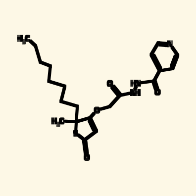 CCCCCCCCC1(C)SC(=O)C=C1OCC(=O)NNC(=O)c1ccncc1